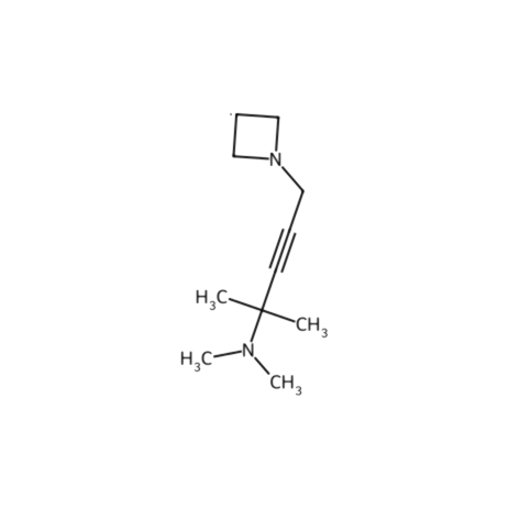 CN(C)C(C)(C)C#CCN1C[CH]C1